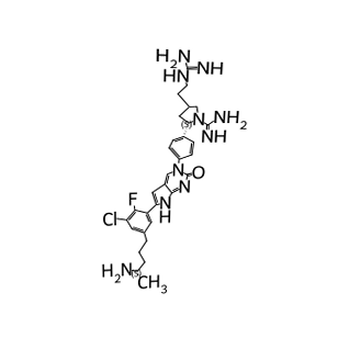 C[C@H](N)CCCc1cc(Cl)c(F)c(-c2cc3cn(-c4ccc([C@@H]5CC(CCNC(=N)N)CN5C(=N)N)cc4)c(=O)nc3[nH]2)c1